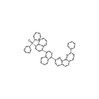 O=P(c1ccccc1)(c1ccccc1)c1ccc(-c2ccc(-c3ccc4ccc5ccc(-c6ccccc6)nc5c4n3)c3ccccc23)c2ccccc12